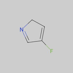 FC1=CCN=C1